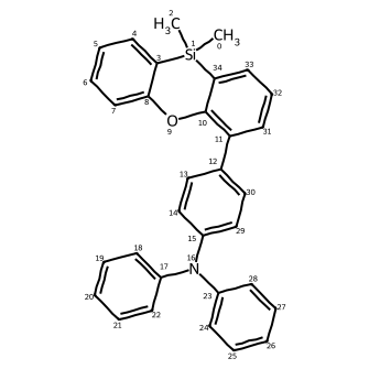 C[Si]1(C)c2ccccc2Oc2c(-c3ccc(N(c4ccccc4)c4ccccc4)cc3)cccc21